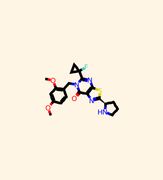 COc1ccc(Cn2c(C3(F)CC3)nc3sc([C@H]4CCCN4)nc3c2=O)c(OC)c1